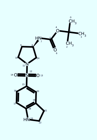 CC(C)(C)OC(=O)N[C@@H]1CCN(S(=O)(=O)c2ccc3c(c2)CCN3)C1